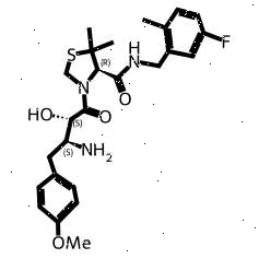 COc1ccc(C[C@H](N)[C@H](O)C(=O)N2CSC(C)(C)[C@H]2C(=O)NCc2cc(F)ccc2C)cc1